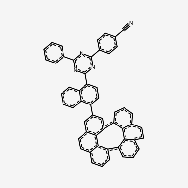 N#Cc1ccc(-c2nc(-c3ccccc3)nc(-c3ccc(-c4cc5ccc6cccc7c8cccc9ccc%10cccc(c(c4)c5c67)c%10c98)c4ccccc34)n2)cc1